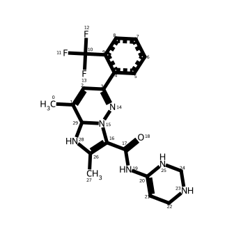 CC1=CC(c2ccccc2C(F)(F)F)=NN2C(C(=O)NC3=CCNCN3)=C(C)NC12